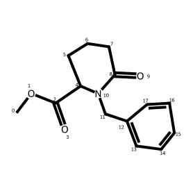 COC(=O)C1CCCC(=O)N1Cc1ccccc1